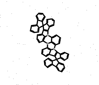 c1ccc2c(c1)-c1ccccc1C21c2ccccc2-c2c1c1cccc3c1n2-c1cccc2c1B3c1cccc3c4c(n-2c13)-c1ccccc1C41c2ccccc2-c2ccccc21